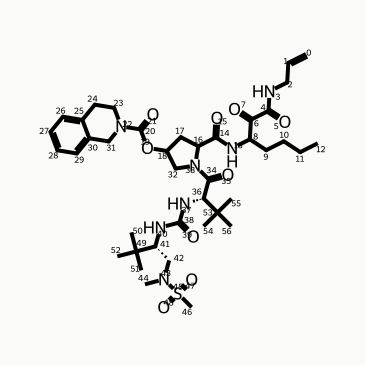 C=CCNC(=O)C(=O)C(CCCC)NC(=O)C1CC(OC(=O)N2CCc3ccccc3C2)CN1C(=O)[C@@H](NC(=O)N[C@H](CN(C)S(C)(=O)=O)C(C)(C)C)C(C)(C)C